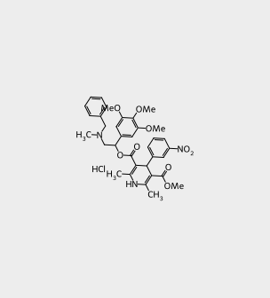 COC(=O)C1=C(C)NC(C)=C(C(=O)OC(CN(C)Cc2ccccc2)c2cc(OC)c(OC)c(OC)c2)C1c1cccc([N+](=O)[O-])c1.Cl